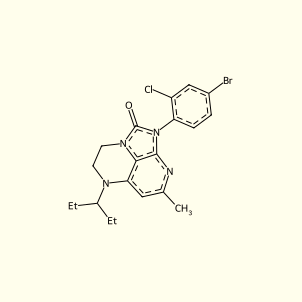 CCC(CC)N1CCn2c(=O)n(-c3ccc(Br)cc3Cl)c3nc(C)cc1c32